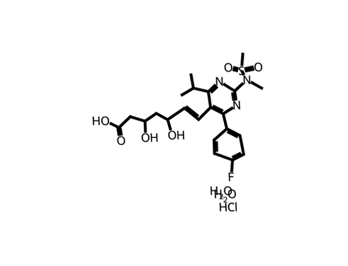 CC(C)c1nc(N(C)S(C)(=O)=O)nc(-c2ccc(F)cc2)c1/C=C/C(O)CC(O)CC(=O)O.Cl.O.O